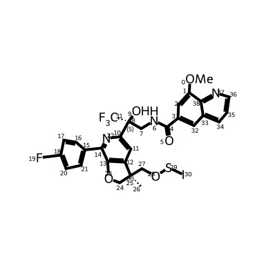 COc1cc(C(=O)NC[C@](O)(c2cc3c(c(-c4ccc(F)cc4)n2)OC[C@]3(C)COSI)C(F)(F)F)cc2cccnc12